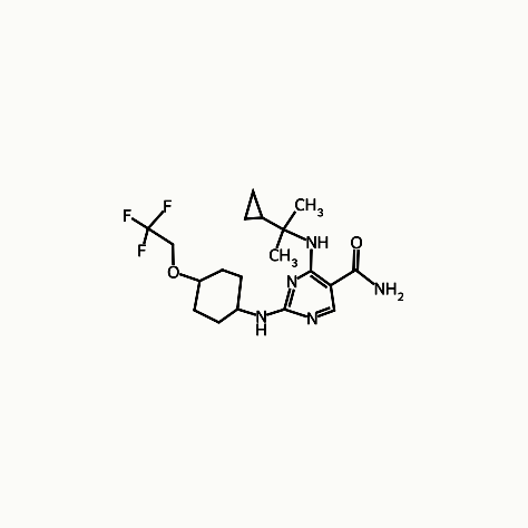 CC(C)(Nc1nc(NC2CCC(OCC(F)(F)F)CC2)ncc1C(N)=O)C1CC1